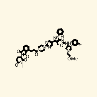 COCCN1C[C@@H](NC(=O)Nc2c(C)c(-c3cnc(N4CCN(C(=O)CCc5cccc6c5C(=O)N(C5CCC(=O)NC5=O)C6=O)CC4)nc3)nn2-c2ccccc2)[C@H](c2cccc(F)c2)C1